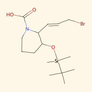 CC(C)(C)[Si](C)(C)OC1CCCN(C(=O)O)C1/C=C/CBr